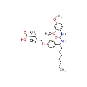 CCCCCCCC(NC(=O)Nc1ccc(OC)cc1OC)c1ccc(OCCCC(C)(C)C(=O)O)cc1